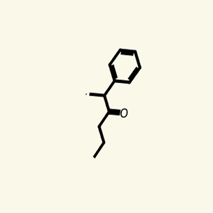 [CH2]C(C(=O)CCC)c1ccccc1